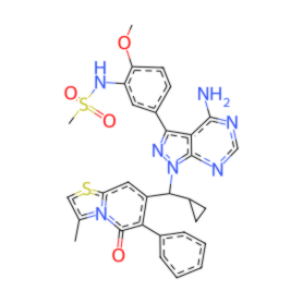 COc1ccc(-c2nn(C(c3cc4scc(C)n4c(=O)c3-c3ccccc3)C3CC3)c3ncnc(N)c23)cc1NS(C)(=O)=O